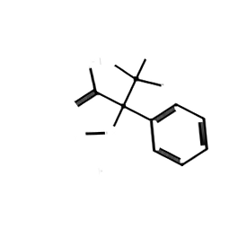 COC(C(=O)O)(c1ccccc1)C(F)(F)F.Cl